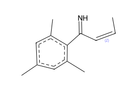 C/C=C\C(=N)c1c(C)cc(C)cc1C